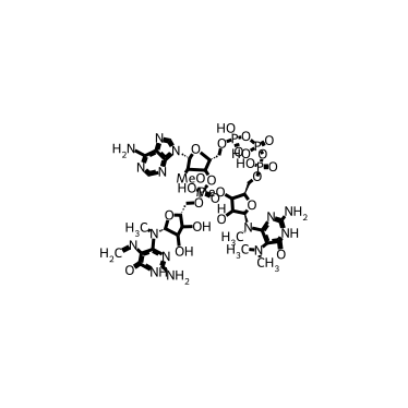 C=Nc1c(N(C)[C@@H]2O[C@H](COP(=O)(O)OC3C(OC)[C@H](n4cnc5c(N)ncnc54)O[C@@H]3COP(=O)(O)OP(=O)(O)OP(=O)(O)OC[C@H]3O[C@@H](N(C)c4nc(N)[nH]c(=O)c4N(C)C)C(O)C3OC)C(O)C2O)nc(N)[nH]c1=O